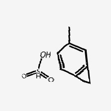 Cc1ccc2c(c1)C2.O=[SH](=O)O